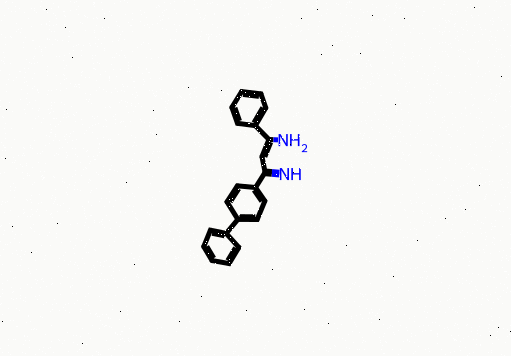 N=C(/C=C(\N)c1ccccc1)c1ccc(-c2ccccc2)cc1